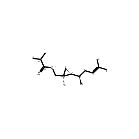 CC(C)=CC[C@@H](C)[C@H]1C[C@]1(C)COC(=O)C(C)C